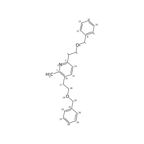 Cc1nc(CCOCc2ccccc2)ccc1CCOCc1ccccc1